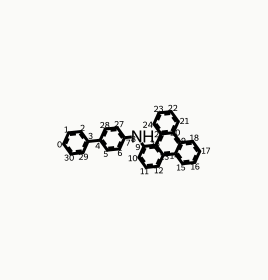 c1ccc(-c2ccc(Nc3cccc4c5ccccc5c5ccccc5c34)cc2)cc1